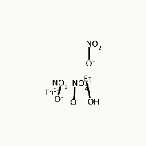 CCO.O=[N+]([O-])[O-].O=[N+]([O-])[O-].O=[N+]([O-])[O-].[Tb+3]